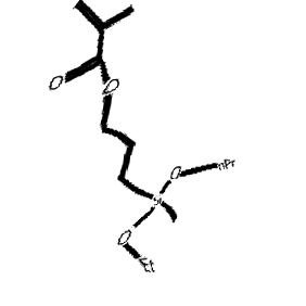 C=C(C)C(=O)OCCC[Si](C)(OCC)OCCC